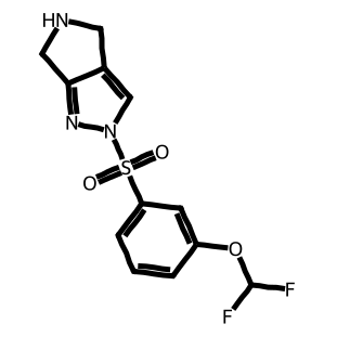 O=S(=O)(c1cccc(OC(F)F)c1)n1cc2c(n1)CNC2